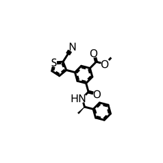 COC(=O)c1cc(C(=O)N[C@H](C)c2ccccc2)cc(-c2ccsc2C#N)c1